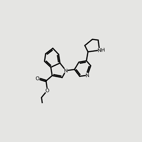 CCOC(=O)c1cn(-c2cncc(C3CCCN3)c2)c2ccccc12